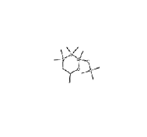 CC1C[Si](C)(C)[Si](C)(C)[Si](C)(O[Si](C)(C)C)O1